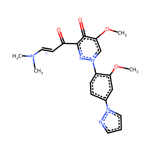 COc1cc(-n2cccn2)ccc1-n1cc(OC)c(=O)c(C(=O)/C=C/N(C)C)n1